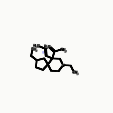 C=C(C)C1(/C=C/C)CN(CC)CCC12CCC(CC)C2